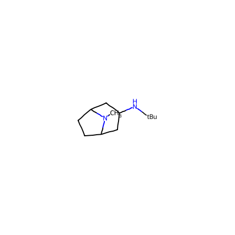 CN1C2CCC1CC(NC(C)(C)C)C2